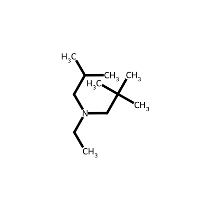 CCN(CC(C)C)CC(C)(C)C